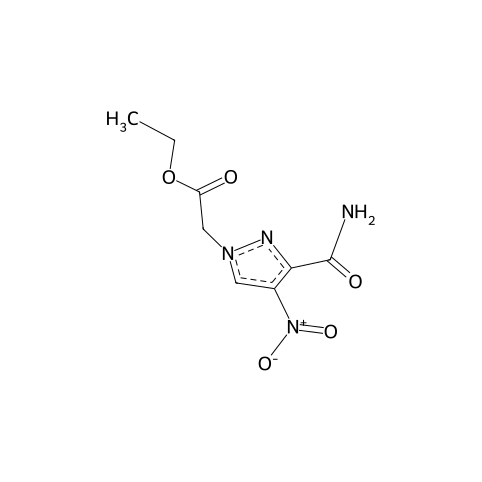 CCOC(=O)Cn1cc([N+](=O)[O-])c(C(N)=O)n1